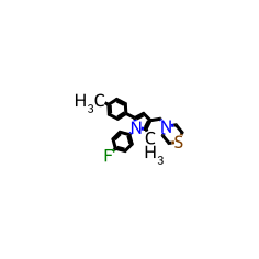 Cc1ccc(-c2cc(CN3CCSCC3)c(C)n2-c2ccc(F)cc2)cc1